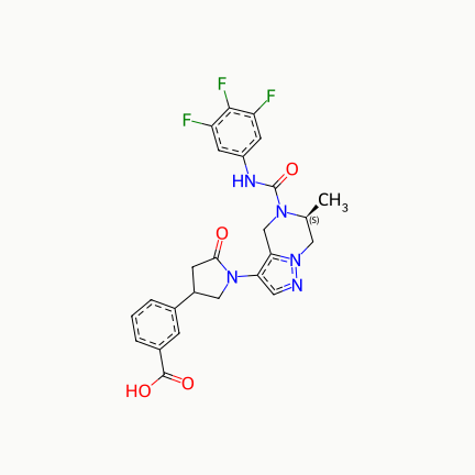 C[C@H]1Cn2ncc(N3CC(c4cccc(C(=O)O)c4)CC3=O)c2CN1C(=O)Nc1cc(F)c(F)c(F)c1